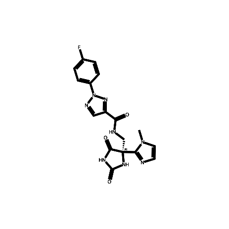 Cn1ccnc1[C@@]1(CNC(=O)c2cnn(-c3ccc(F)cc3)n2)NC(=O)NC1=O